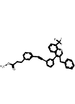 COC(=O)CCc1cccc(C#Cc2cccc(-c3c(Cc4ccccc4)cnc4c(C(F)(F)F)cccc34)c2)c1